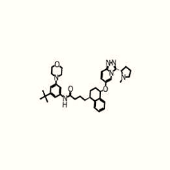 CN1CCC[C@H]1c1nnc2ccc(O[C@@H]3CC[C@H](CCCC(=O)Nc4cc(N5CCOCC5)cc(C(C)(C)C)c4)c4ccccc43)cn12